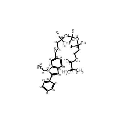 C=C(C)C(=O)OCCC(F)(F)OC(F)(F)OC(F)(F)CCOc1ccc2cc(-c3ccccc3)n(CC(C)C)c2c1